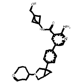 Nc1ncc(-c2ccc(C34CC3CN(C3CCOCC3)C4)cc2)cc1C(=O)NC12CC(CO)(C1)C2